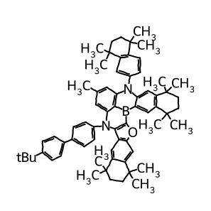 Cc1cc2c3c(c1)N(c1ccc(-c4ccc(C(C)(C)C)cc4)cc1)c1c(oc4cc5c(cc14)C(C)(C)CCC5(C)C)B3c1cc3c(cc1N2c1ccc2c(c1)C(C)(C)CCC2(C)C)C(C)(C)CCC3(C)C